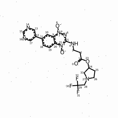 O=C(CCNc1n[n+]([O-])c2cc(-c3cncnc3)ccc2[n+]1[O-])OC1CCN(CC(F)(F)F)C1